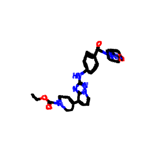 CCOC(=O)N1CC=C(c2cccn3nc(Nc4ccc(C(=O)N5CC6CNCC5CO6)cc4)nc23)CC1